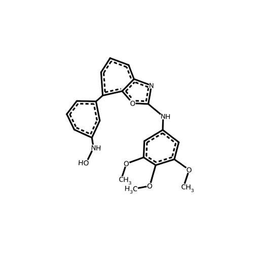 COc1cc(Nc2nc3cccc(-c4cccc(NO)c4)c3o2)cc(OC)c1OC